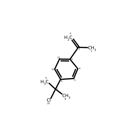 C=C(C)c1ccc(C(C)(C)Cl)cc1